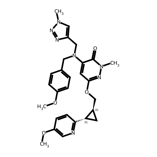 COc1ccc(CN(Cc2cn(C)nn2)c2cc(OC[C@H]3C[C@@H]3c3ccc(OC)cn3)nn(C)c2=O)cc1